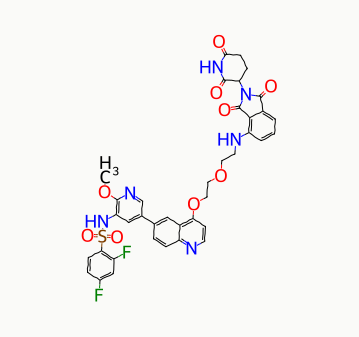 COc1ncc(-c2ccc3nccc(OCCOCCNc4cccc5c4C(=O)N(C4CCC(=O)NC4=O)C5=O)c3c2)cc1NS(=O)(=O)c1ccc(F)cc1F